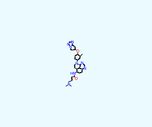 Cc1cc(N2C=Cc3c(NC(=O)/C=C/CN(C)C)ccc4ncnc2c34)ccc1Oc1ccn2ncnc2c1